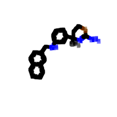 CC1(c2cccc(NCc3ccc4ccccc4c3)c2)CCSC(N)=N1